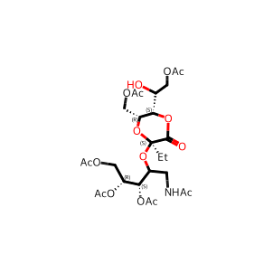 CC[C@]1(OC(CNC(C)=O)[C@H](OC(C)=O)[C@@H](COC(C)=O)OC(C)=O)O[C@H](COC(C)=O)[C@H](C(O)COC(C)=O)OC1=O